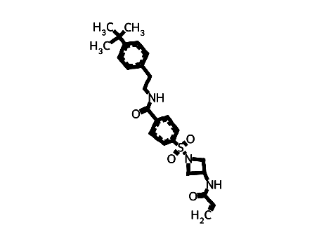 C=CC(=O)NC1CN(S(=O)(=O)c2ccc(C(=O)NCCc3ccc(C(C)(C)C)cc3)cc2)C1